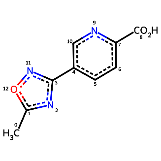 Cc1nc(-c2ccc(C(=O)O)nc2)no1